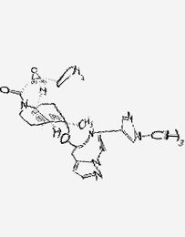 C[C@H]1O[C@H]1C(=O)N1CC[C@H]2[C@@H]1C[C@@]2(C)Oc1nc(-c2cnn(C)c2)cn2nccc12